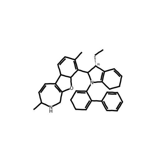 CC[C@@H]1C2=C(CCC=C2)N(C2=CCCC=C2c2ccccc2)C1C1=C(C)C=CC2C3=C(CNC(C)C=C3)OC12